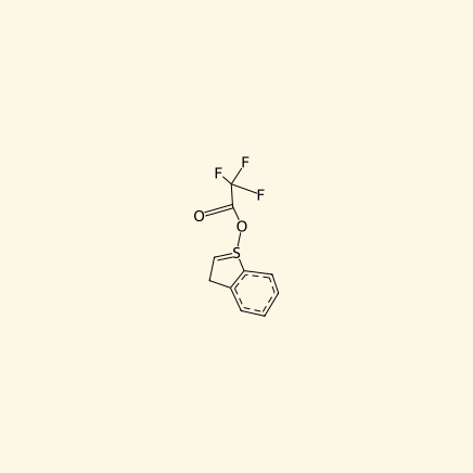 O=C(OS1=CCc2ccccc21)C(F)(F)F